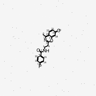 Cc1nc(CCNC(=O)c2ccc(F)cc2)oc2cc(=O)ccc1-2